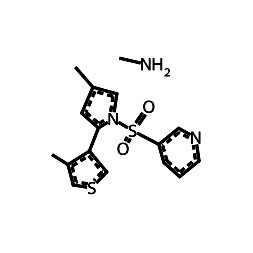 CN.Cc1cc(-c2cscc2C)n(S(=O)(=O)c2cccnc2)c1